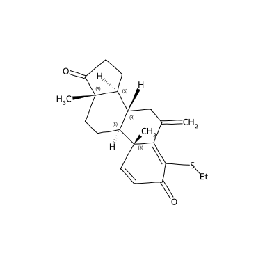 C=C1C[C@@H]2[C@H](CC[C@]3(C)C(=O)CC[C@@H]23)[C@@]2(C)C=CC(=O)C(SCC)=C12